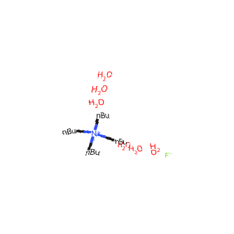 CCCC[N+](CCCC)(CCCC)CCCC.O.O.O.O.O.O.[F-]